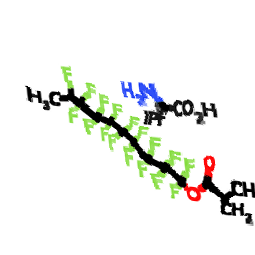 C=C(C)C(=O)OC(F)(F)C(F)(F)C(F)(F)C(F)(F)C(F)(F)C(F)(F)C(F)(F)C(F)(F)C(C)F.CC(C)[C@H](N)C(=O)O